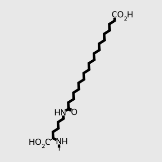 O=C(O)CCCCCCCCCCCCCCCCCCC(=O)NCCCC[C@H](NI)C(=O)O